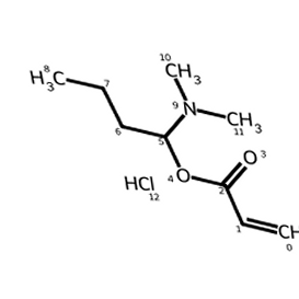 C=CC(=O)OC(CCC)N(C)C.Cl